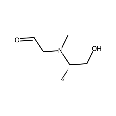 C[C@@H](CO)N(C)C[C]=O